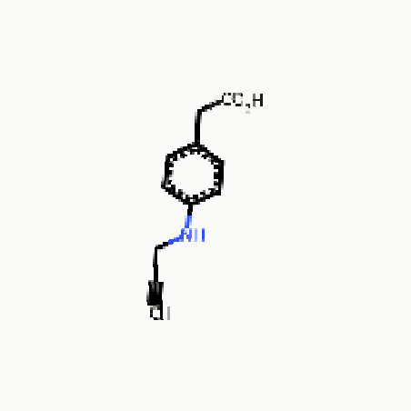 C#CCNc1ccc(CC(=O)O)cc1